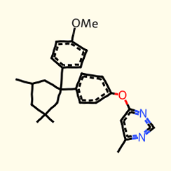 COc1ccc(C2(c3ccc(Oc4cc(C)ncn4)cc3)CC(C)CC(C)(C)C2)cc1